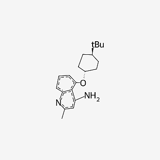 Cc1cc(N)c2c(O[C@H]3CC[C@H](C(C)(C)C)CC3)cccc2n1